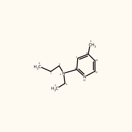 CCCN(CC)c1cc(C)ccn1